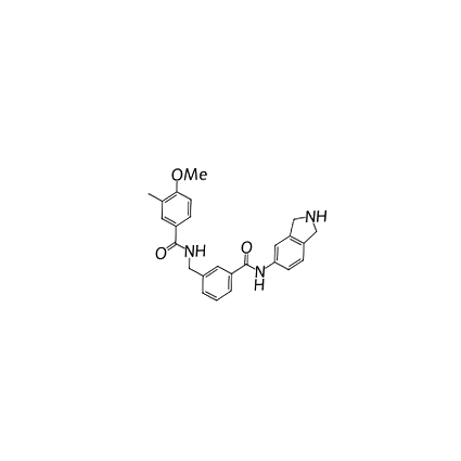 COc1ccc(C(=O)NCc2cccc(C(=O)Nc3ccc4c(c3)CNC4)c2)cc1C